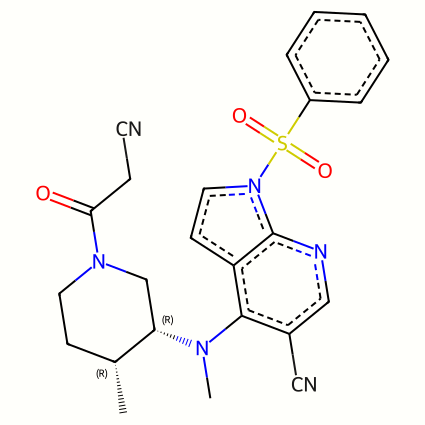 C[C@@H]1CCN(C(=O)CC#N)C[C@@H]1N(C)c1c(C#N)cnc2c1ccn2S(=O)(=O)c1ccccc1